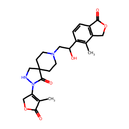 CC1=C(N2NCC3(CCN(CC(O)c4ccc5c(c4C)COC5=O)CC3)C2=O)COC1=O